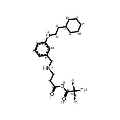 O=C(CCNCc1cccc(OCCC2CCCCC2)c1)OC(=O)C(F)(F)F